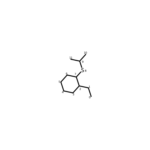 CCC1CCCCC1SC(C)C